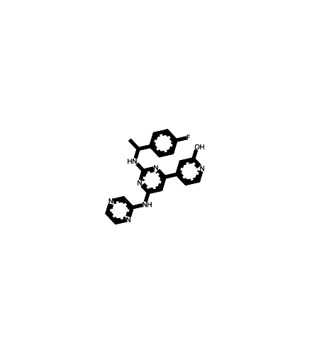 CC(Nc1nc(Nc2cnccn2)cc(-c2ccnc(O)c2)n1)c1ccc(F)cc1